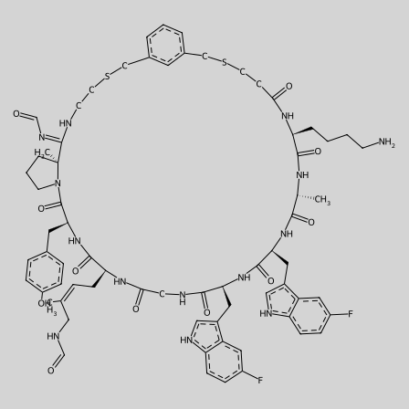 C/C(=C/C[C@@H]1NC(=O)CNC(=O)[C@H](Cc2c[nH]c3ccc(F)cc23)NC(=O)[C@H](Cc2c[nH]c3ccc(F)cc23)NC(=O)[C@@H](C)NC(=O)[C@H](CCCCN)NC(=O)CCSCc2cccc(c2)CSCCN/C(=N\C=O)[C@]2(C)CCCN2C(=O)[C@H](Cc2ccc(O)cc2)NC1=O)CNC=O